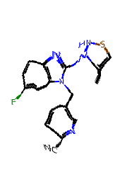 CC1=CSNN1c1nc2ccc(F)cc2n1Cc1ccc(C#N)nc1